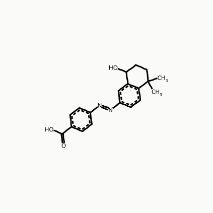 CC1(C)CCC(O)c2cc(N=Nc3ccc(C(=O)O)cc3)ccc21